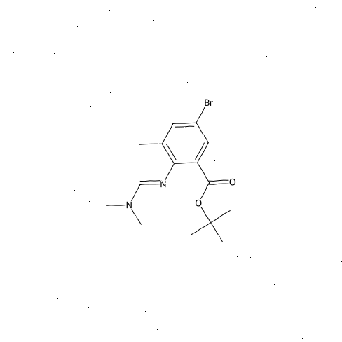 Cc1cc(Br)cc(C(=O)OC(C)(C)C)c1N=CN(C)C